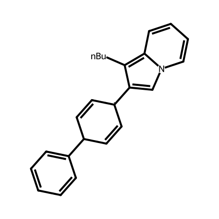 CCCCc1c([C]2C=CC(c3ccccc3)C=C2)cn2ccccc12